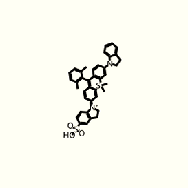 Cc1cccc(C)c1C1=C2C=C/C(=[N+]3/CCc4cc(S(=O)(=O)O)ccc43)C=C2[Si](C)(C)c2cc(N3CCc4ccccc43)ccc21